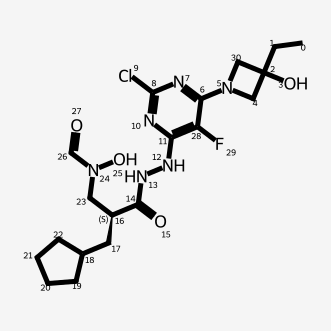 CCC1(O)CN(c2nc(Cl)nc(NNC(=O)[C@@H](CC3CCCC3)CN(O)C=O)c2F)C1